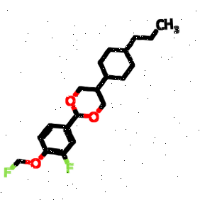 CCCC1CCC(C2COC(c3ccc(OCF)c(F)c3)OC2)CC1